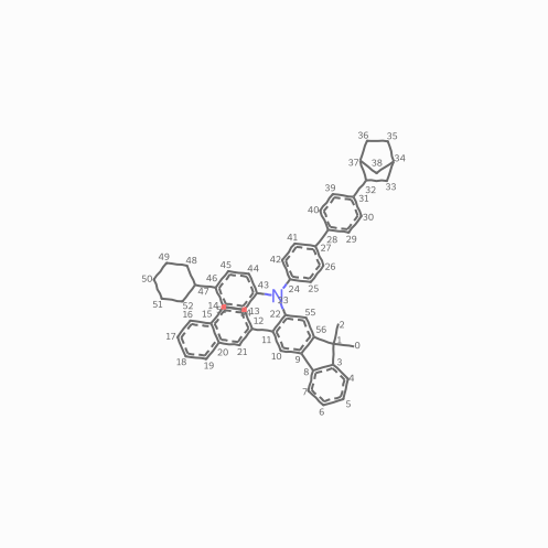 CC1(C)c2ccccc2-c2cc(-c3ccc4ccccc4c3)c(N(c3ccc(-c4ccc(C5CC6CCC5C6)cc4)cc3)c3ccc(C4CCCCC4)cc3)cc21